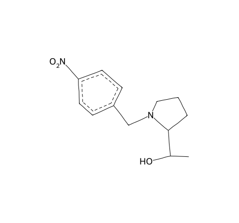 CC(O)C1CCCN1Cc1ccc([N+](=O)[O-])cc1